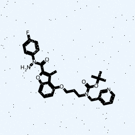 Cc1c(C(=O)N(N)c2ccc(F)cc2)oc2cccc(OCCCN(Cc3cccnc3)C(=O)OC(C)(C)C)c12